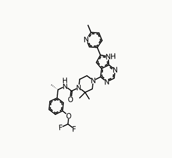 Cc1ccc(-c2cc3c(N4CCN(C(=O)N[C@@H](C)c5cccc(OC(F)F)c5)C(C)(C)C4)ncnc3[nH]2)cn1